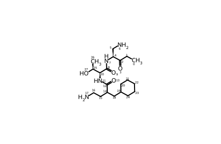 CCC(=O)[C@H](CN)NC(=O)[C@@H](NC(=O)C(CCN)CC1CCCCC1)[C@H](C)O